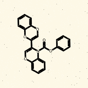 O=C(Oc1ccccc1)N1C(C2=COc3ccccc3O2)=COc2ccccc21